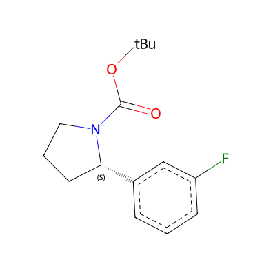 CC(C)(C)OC(=O)N1CCC[C@H]1c1cccc(F)c1